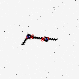 CCCCCCCCON1C(C)(C)CCC(OC(=O)CCCCCCCCC(=O)OC2CCC(C)(C)N(OCCCCCCCC)C2(C)C)C1(C)C